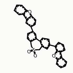 O=S1(=O)Cc2cc(-c3cccc4c3oc3ccccc34)ccc2-c2cc(-c3ccc4oc5ccccc5c4c3)ccc2C1